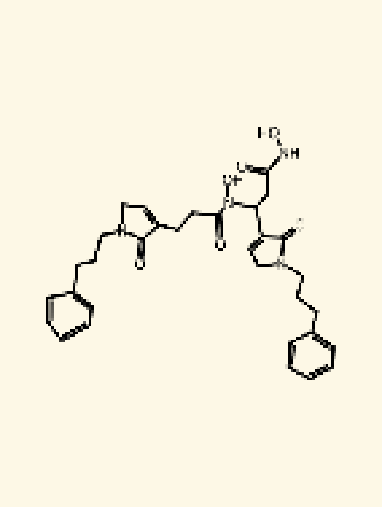 O=C(CC(C1=CCN(CCCc2ccccc2)C1=O)N(O)C(=O)CCC1=CCN(CCCc2ccccc2)C1=O)NO